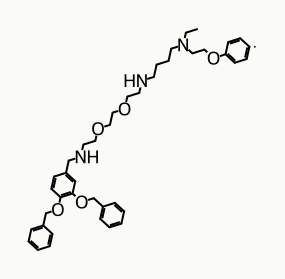 CCN(CCCCNCCOCCOCCNCc1ccc(OCc2ccccc2)c(OCc2ccccc2)c1)CCOc1cc[c]cc1